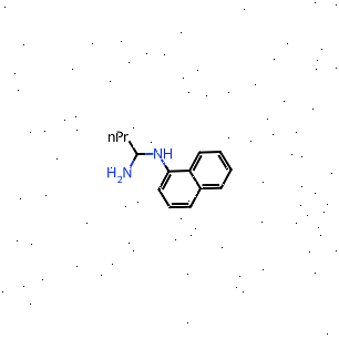 CCCC(N)Nc1cccc2ccccc12